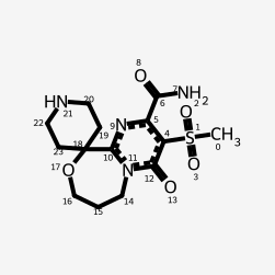 CS(=O)(=O)c1c(C(N)=O)nc2n(c1=O)CCCOC21CCNCC1